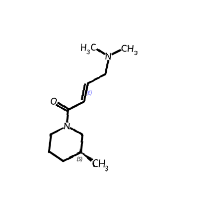 C[C@H]1CCCN(C(=O)/C=C/CN(C)C)C1